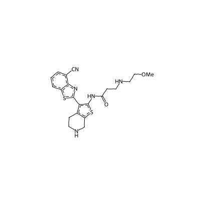 COCCNCCC(=O)Nc1sc2c(c1-c1nc3c(C#N)cccc3s1)CCNC2